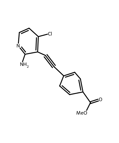 COC(=O)c1ccc(C#Cc2c(Cl)ccnc2N)cc1